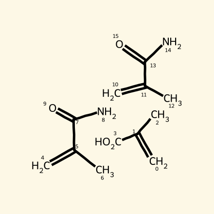 C=C(C)C(=O)O.C=C(C)C(N)=O.C=C(C)C(N)=O